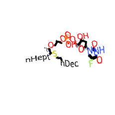 CCCCCCCCCCCCSC(CCCCCCC)[C@H](C)OCCCOP(=O)(O)OC[C@H]1O[C@@H](n2cc(F)c(=O)[nH]c2=O)C[C@@H]1O